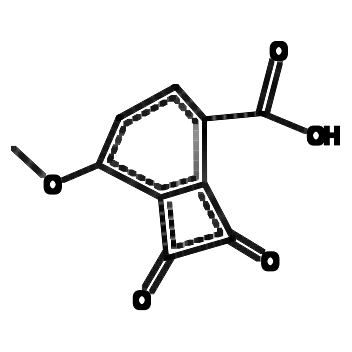 COc1ccc(C(=O)O)c2c(=O)c(=O)c12